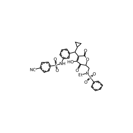 CCN(CC1OC(=O)C(C(c2cccc(NS(=O)(=O)c3ccc(C#N)cc3)c2)C2CC2)=C(O)C1=O)S(=O)(=O)c1ccccc1